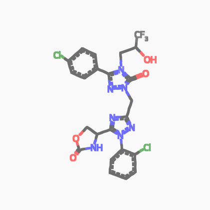 O=C1NC(c2nc(Cn3nc(-c4ccc(Cl)cc4)n(CC(O)C(F)(F)F)c3=O)nn2-c2ccccc2Cl)CO1